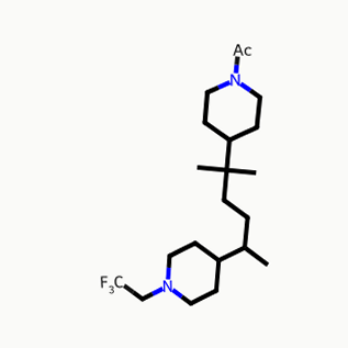 CC(=O)N1CCC(C(C)(C)CCC(C)C2CCN(CC(F)(F)F)CC2)CC1